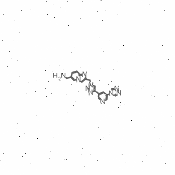 NCc1ccc2nc(Cn3cc(-c4cncc(-n5cnnc5)c4)nn3)cn2c1